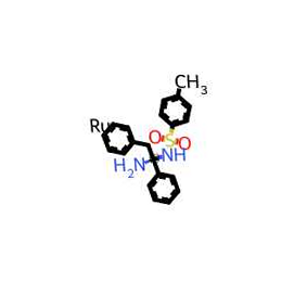 Cc1ccc(S(=O)(=O)N[C@@](N)(Cc2ccccc2)c2ccccc2)cc1.[Ru]